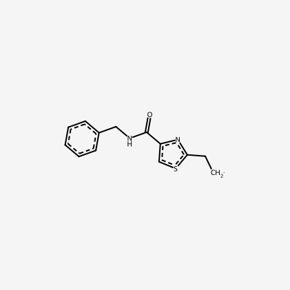 [CH2]Cc1nc(C(=O)NCc2ccccc2)cs1